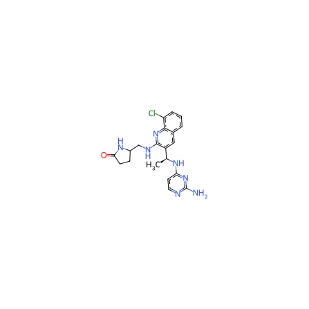 C[C@H](Nc1ccnc(N)n1)c1cc2cccc(Cl)c2nc1NCC1CCC(=O)N1